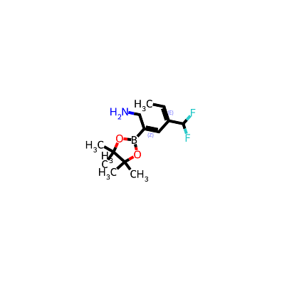 C/C=C(\C=C(/CN)B1OC(C)(C)C(C)(C)O1)C(F)F